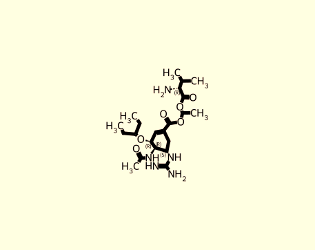 CCC(CC)O[C@@H]1C=C(C(=O)OC(C)OC(=O)[C@H](N)C(C)C)C[C@H](NC(=N)N)[C@H]1NC(C)=O